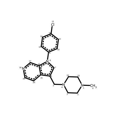 CN1CCN(Cc2cn(-c3ccc(Cl)cc3)c3cnccc23)CC1